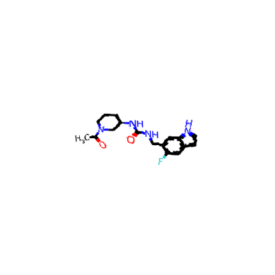 CC(=O)N1CCC[C@@H](NC(=O)NCc2cc3[nH]ccc3cc2F)C1